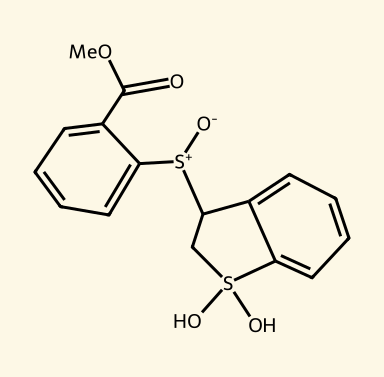 COC(=O)c1ccccc1[S+]([O-])C1CS(O)(O)c2ccccc21